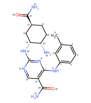 Cc1cccc(Nc2nc(N[C@@H]3C[C@@H](C(N)=O)CC[C@@H]3N)ncc2C(N)=O)c1